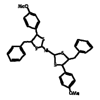 COc1ccc(C2S[CH]([Ni][CH]3SC(Cc4ccccc4)C(c4ccc(OC)cc4)S3)SC2Cc2ccccc2)cc1